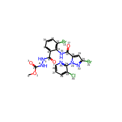 COC(=O)NNC(=O)c1cccc(Br)c1NC(=O)c1cc(Br)nn1-c1ncccc1Cl